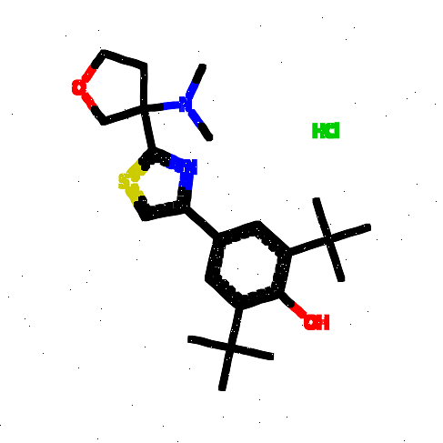 CN(C)C1(c2nc(-c3cc(C(C)(C)C)c(O)c(C(C)(C)C)c3)cs2)CCOC1.Cl